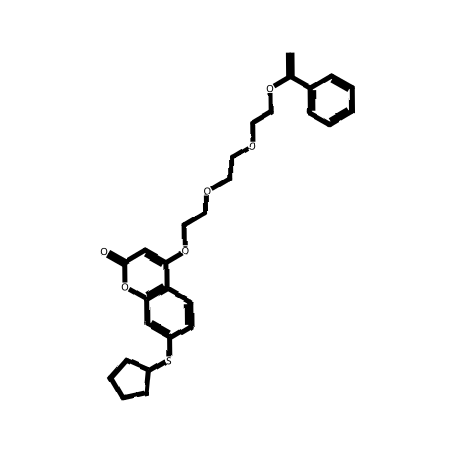 C=C(OCCOCCOCCOc1cc(=O)oc2cc(SC3CCCC3)ccc12)c1ccccc1